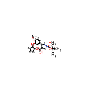 COc1ccc([C@H]2CN(C(=O)OC(C)(C)C)C[C@@H]2C(=O)O)cc1OC1CCCC1